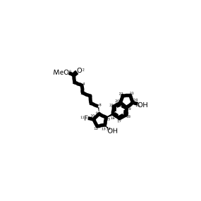 COC(=O)CCCCCC[C@H]1C(F)C[C@@H](O)[C@@H]1c1ccc2c(c1)CCC2O